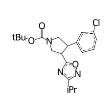 CC(C)c1noc(C2CN(C(=O)OC(C)(C)C)CC2c2cccc(Cl)c2)n1